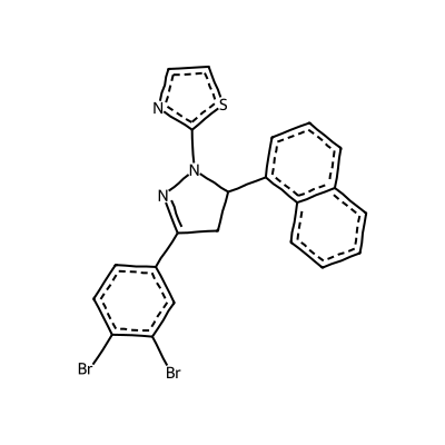 Brc1ccc(C2=NN(c3nccs3)C(c3cccc4ccccc34)C2)cc1Br